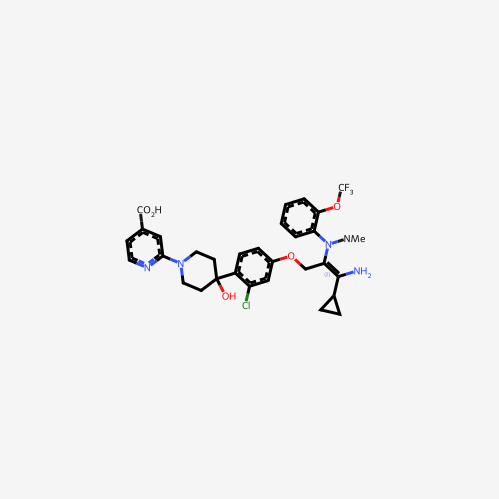 CNN(/C(COc1ccc(C2(O)CCN(c3cc(C(=O)O)ccn3)CC2)c(Cl)c1)=C(\N)C1CC1)c1ccccc1OC(F)(F)F